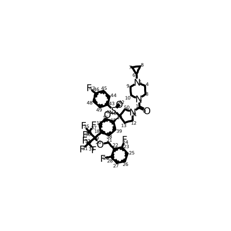 O=C(N1CCN(C2CC2)CC1)N1CC[C@](c2ccc(C(OCc3c(F)cccc3F)(C(F)(F)F)C(F)(F)F)cc2)(S(=O)(=O)c2ccc(F)cc2)C1